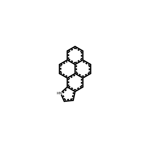 c1cc2ccc3cc4cc[nH]c4c4ccc(c1)c2c34